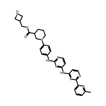 Cc1cccc(-c2nccc(Nc3ccnc(Nc4ccc(N5CCCC(C(=O)OCC6CNC6)C5)cc4)n3)n2)n1